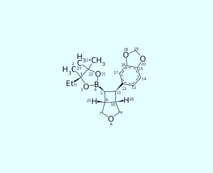 CC[C@]1(C)OB([C@@H]2[C@H]3COC[C@H]3[C@@H]2c2ccc3c(c2)OCO3)OC1(C)C